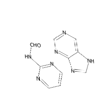 O=CNc1ncccn1.c1ncc2[nH]cnc2n1